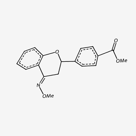 CON=C1CC(c2ccc(C(=O)OC)cc2)Oc2ccccc21